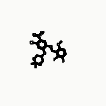 COc1ccc(F)c(F)c1COc1cc([N+](=O)[O-])c(Cl)cc1OC1COC(C)(C)OC1